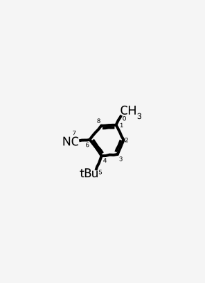 Cc1ccc(C(C)(C)C)c(C#N)c1